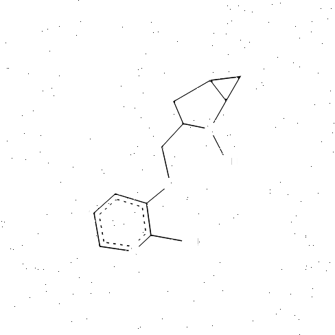 Cc1ncccc1OCC1CC2CC2N1C